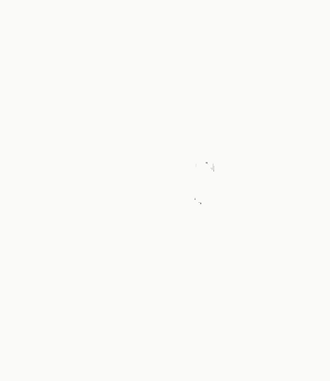 N#C[n+]1ccccc1Cc1ccccc1